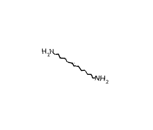 NCCCCC[CH]CCCCCCCN